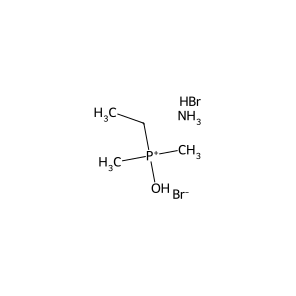 Br.CC[P+](C)(C)O.N.[Br-]